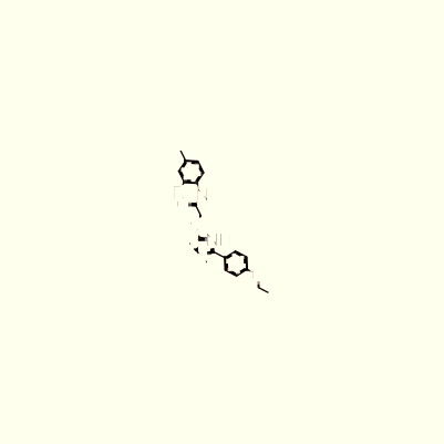 CCOc1ccc(-c2nnc(SCC(=O)Nc3ccc(C)cc3F)[nH]2)cc1